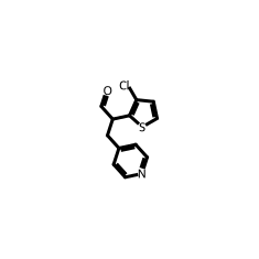 O=CC(Cc1ccncc1)c1sccc1Cl